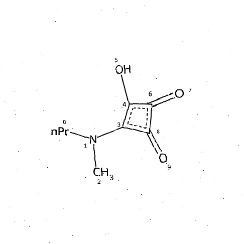 CCCN(C)c1c(O)c(=O)c1=O